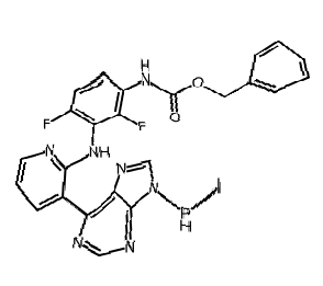 O=C(Nc1ccc(F)c(Nc2ncccc2-c2ncnc3c2ncn3PI)c1F)OCc1ccccc1